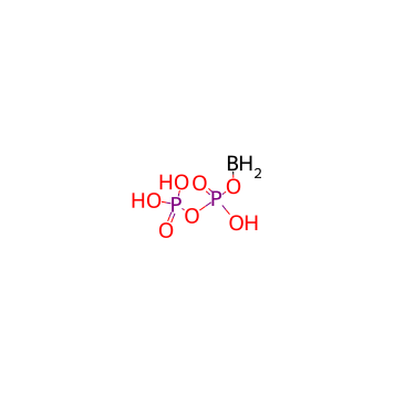 BOP(=O)(O)OP(=O)(O)O